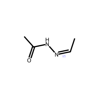 C/C=N\NC(C)=O